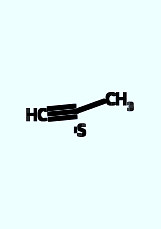 C#CC.[S]